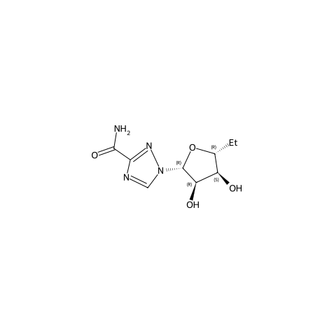 CC[C@H]1O[C@@H](n2cnc(C(N)=O)n2)[C@H](O)[C@@H]1O